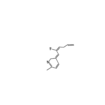 C=CC/C=C(F)\C=C1\C=CC(C)=NC1